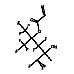 C=CC(=O)OC(C(F)(F)F)(C(F)(F)F)C(F)(F)C(C)(O)C(F)(F)F